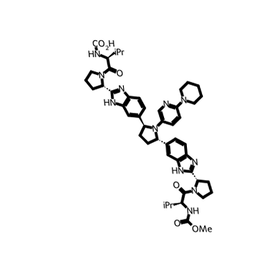 COC(=O)N[C@H](C(=O)N1CCC[C@H]1c1nc2ccc([C@@H]3CC[C@@H](c4ccc5nc([C@@H]6CCCN6C(=O)[C@@H](NC(=O)O)C(C)C)[nH]c5c4)N3c3ccc(N4CCCCC4)nc3)cc2[nH]1)C(C)C